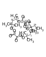 CCC(C)(C)OOC(=O)C(=O)OOC(C)(C)CC(C)OC(=O)C(=O)OOC(C)(C)CC